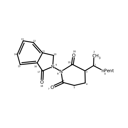 CCCCCC(C)C1CCC(=O)N(N2Cc3ccccc3C2=O)C1=O